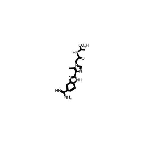 Cc1c(-c2nc3cc(C(=N)N)ccc3[nH]2)ncn1CC(=O)NC(C)C(=O)O